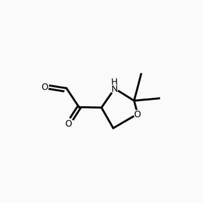 CC1(C)NC(C(=O)C=O)CO1